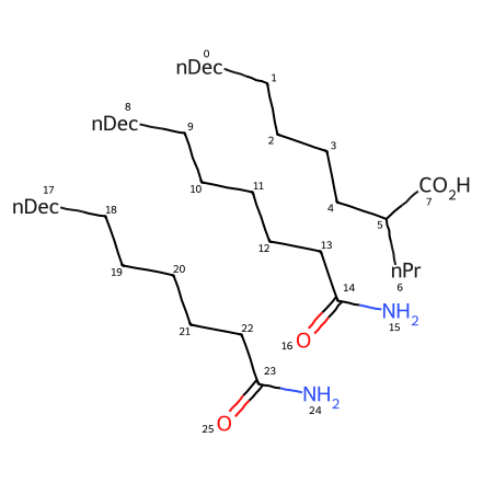 CCCCCCCCCCCCCCC(CCC)C(=O)O.CCCCCCCCCCCCCCCC(N)=O.CCCCCCCCCCCCCCCC(N)=O